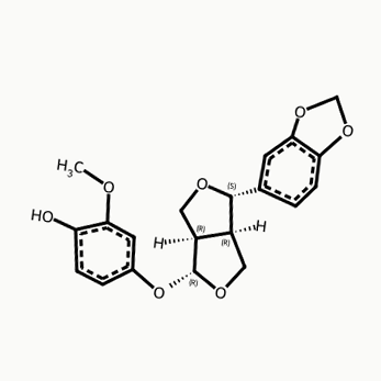 COc1cc(O[C@H]2OC[C@H]3[C@@H]2CO[C@@H]3c2ccc3c(c2)OCO3)ccc1O